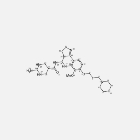 COc1c(OCCCN2CCOCC2)ccc2c1NC(NC(=O)C1CNC(N)NC1)N1CCN=C21